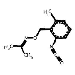 CC(C)=NOCc1c(C)cccc1N=C=O